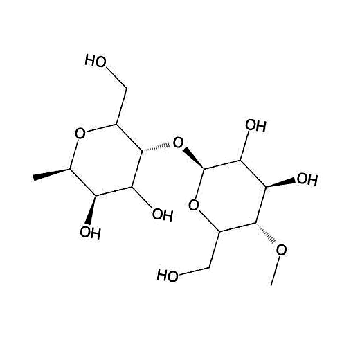 CO[C@@H]1C(CO)O[C@@H](O[C@H]2C(CO)O[C@H](C)[C@H](O)C2O)C(O)[C@H]1O